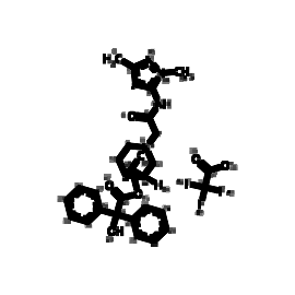 Cc1cc(NC(=O)C[N+]23CCC(CC2)[C@@H](OC(=O)C(O)(c2ccccc2)c2ccccc2)C3)n(C)n1.O=C([O-])C(F)(F)F